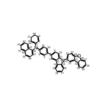 C1=CC(N(c2ccc(-c3ccc4c(c3)c3ccccc3n4-c3ccc4oc5ccccc5c4c3)cc2)c2cccc3ccccc23)=CCC1